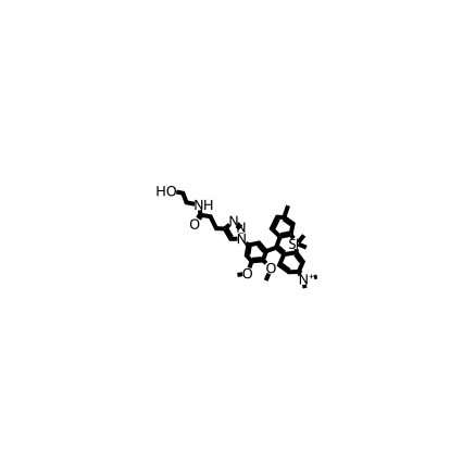 COc1cc(-n2cc(CCC(=O)NCCO)nn2)cc(C2=C3C=CC(=[N+](C)C)C=C3[Si](C)(C)c3cc(C)ccc32)c1OC